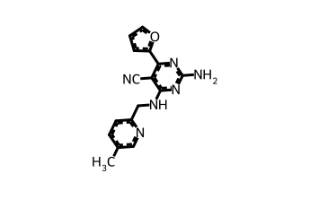 Cc1ccc(CNc2nc(N)nc(-c3ccco3)c2C#N)nc1